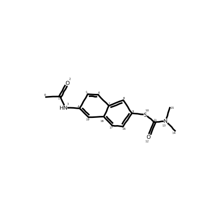 CC(=O)Nc1ccc2cc(SC(=O)N(C)C)ccc2c1